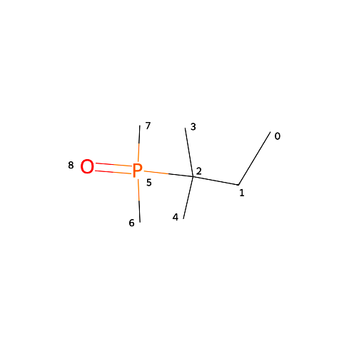 CCC(C)(C)P(C)(C)=O